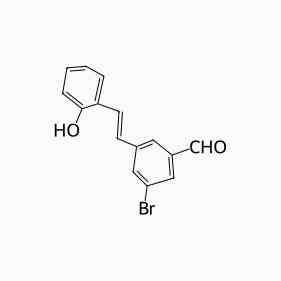 O=Cc1cc(Br)cc(C=Cc2ccccc2O)c1